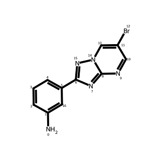 Nc1cccc(-c2nc3ncc(Br)cn3n2)c1